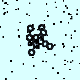 c1ccc(-c2ccc3oc4c(-c5ccccc5)nc(-c5cc6ccccc6cc5-n5c6ccccc6c6c7ccccc7ccc65)nc4c3c2)cc1